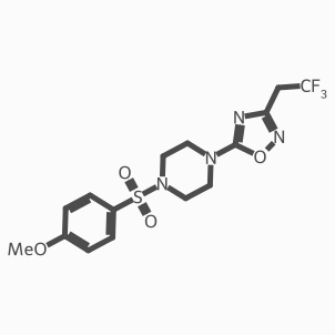 COc1ccc(S(=O)(=O)N2CCN(c3nc(CC(F)(F)F)no3)CC2)cc1